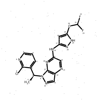 C[C@@H](c1cccnc1Cl)n1ncc2ncc(Nc3cc(OC(F)F)[nH]n3)nc21